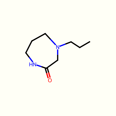 CCCN1CCCNC(=O)C1